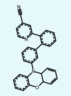 N#Cc1ccnc(-c2ccccc2-c2cccc(N3c4ccccc4OC4C=CC=CC43)c2)c1